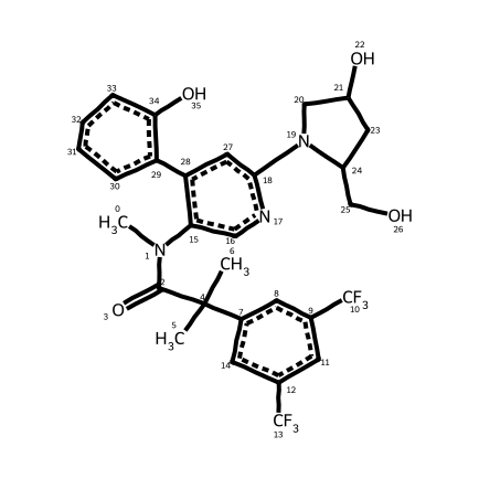 CN(C(=O)C(C)(C)c1cc(C(F)(F)F)cc(C(F)(F)F)c1)c1cnc(N2CC(O)CC2CO)cc1-c1ccccc1O